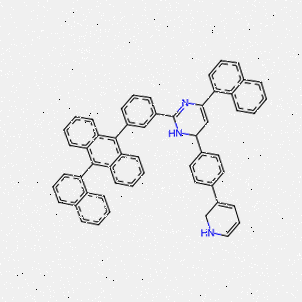 C1=CNCC(c2ccc(C3C=C(c4cccc5ccccc45)N=C(c4cccc(-c5c6ccccc6c(-c6cccc7ccccc67)c6ccccc56)c4)N3)cc2)=C1